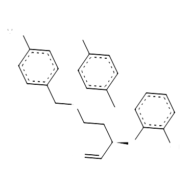 C=C[C@H](Oc1ccccc1C)[C@@H](Cc1ccc(F)cc1)[C@H](C)OCc1ccc(OC)cc1